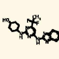 CC(F)(F)c1cc(Nc2nc3ccccc3s2)nc(NC2CCC(O)CC2)n1